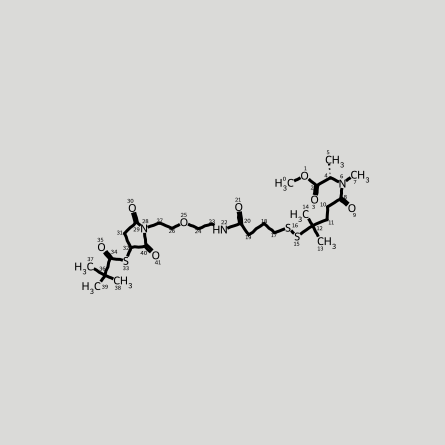 COC(=O)[C@H](C)N(C)C(=O)CCC(C)(C)SSCCCC(=O)NCCOCCN1C(=O)CC(SC(=O)C(C)(C)C)C1=O